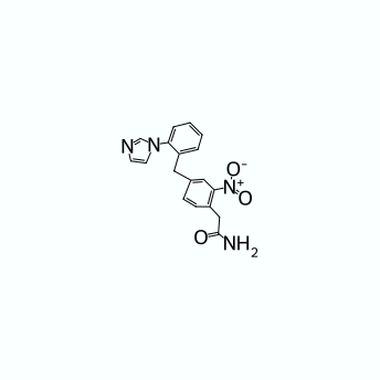 NC(=O)Cc1ccc(Cc2ccccc2-n2ccnc2)cc1[N+](=O)[O-]